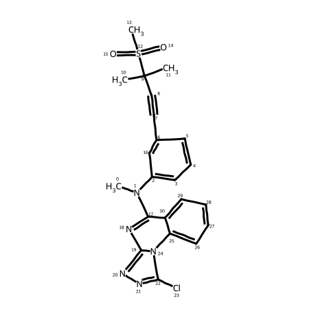 CN(c1cccc(C#CC(C)(C)S(C)(=O)=O)c1)c1nc2nnc(Cl)n2c2ccccc12